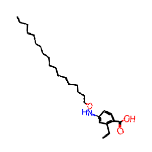 CCCCCCCCCCCCCCCCCCONc1ccc(C(=O)O)c(CC)c1